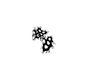 C=C[C@H]1CN2CC[C@H]1C[C@H]2[C@H](OC(=O)c1c2ccccc2cc2ccccc12)c1ccnc2ccc(OC)cc12